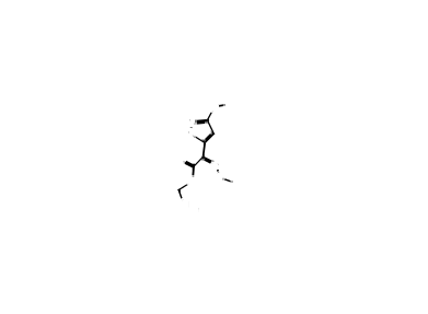 CCOC(=O)C(=NOC)c1cc(SC)n[nH]1